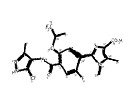 Cc1n[nH]c(Cl)c1NC(=O)c1cc(F)c(-c2nc(C(=O)O)c(C)n2C)cc1OC(C)C(F)(F)F